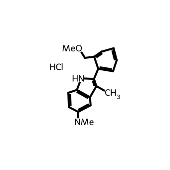 CNc1ccc2[nH]c(-c3ccccc3COC)c(C)c2c1.Cl